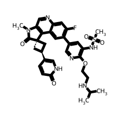 CC(C)NCCOc1ncc(-c2cc3c(cc2F)ncc2c3[C@]3(C[C@H](c4ccc(=O)[nH]c4)C3)C(=O)N2C)cc1NS(C)(=O)=O